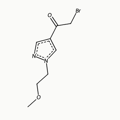 COCCn1cc(C(=O)CBr)cn1